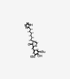 CC(C)(C)c1cc(C=C2SC=CN(CCCCCCc3nnn[nH]3)C2=O)cc(C(C)(C)C)c1O